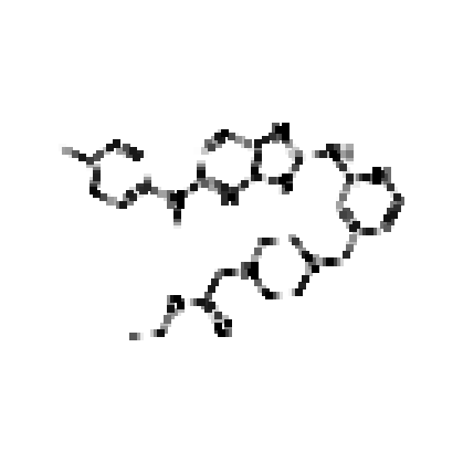 CCOC(=O)CN1CCN(Cc2ccnc(Nc3nc4ccc(N(C)c5ccc(C)cc5)nc4s3)c2)CC1